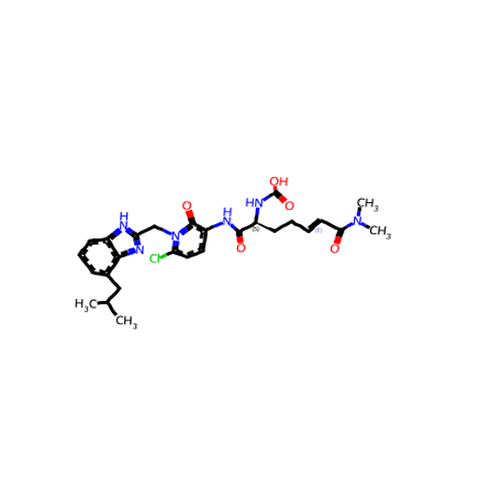 CC(C)Cc1cccc2[nH]c(Cn3c(Cl)ccc(NC(=O)[C@H](CC/C=C/C(=O)N(C)C)NC(=O)O)c3=O)nc12